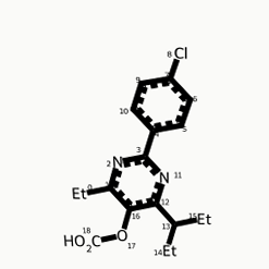 CCc1nc(-c2ccc(Cl)cc2)nc(C(CC)CC)c1OC(=O)O